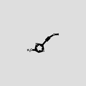 Cc1csc(C#CSI)n1